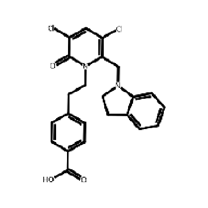 O=C(O)c1ccc(CCn2c(CN3CCc4ccccc43)c(Cl)cc(Cl)c2=O)cc1